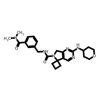 CN(C)C(=O)c1cccc(CNC(=O)N2Cc3nc(NC4CCOCC4)ncc3C23CCC3)c1